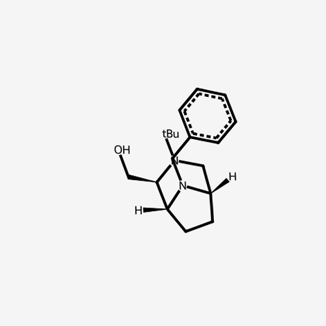 CC(C)(C)N1C[C@@H]2CC[C@H]([C@H]1CO)N2Cc1ccccc1